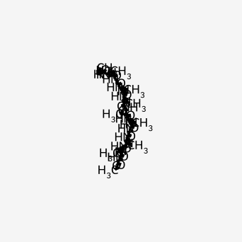 CCOC(=O)CCNC(=O)c1nc(NC(=O)c2cc(NC(=O)CCNC(=O)c3nc(NC(=O)[C@@H](CCNC(=O)c4cc(NC(=O)c5nc(NC(=O)CCNC(=O)c6cc(NC(=O)c7nccn7C)cn6C)cn5C)cn4C)NC(C)=O)cn3C)cn2C)cn1C